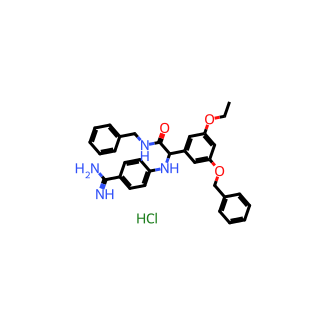 CCOc1cc(OCc2ccccc2)cc(C(Nc2ccc(C(=N)N)cc2)C(=O)NCc2ccccc2)c1.Cl